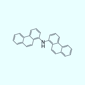 c1ccc2c(c1)ccc1c(Nc3cccc4c3ccc3ccccc34)cccc12